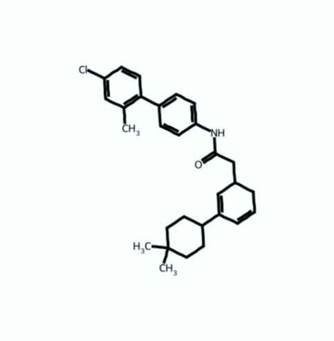 Cc1cc(Cl)ccc1-c1ccc(NC(=O)CC2C=C(C3CCC(C)(C)CC3)C=CC2)cc1